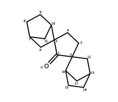 O=C1C2(CCC13CC1CCC3C1)CC1CCC2C1